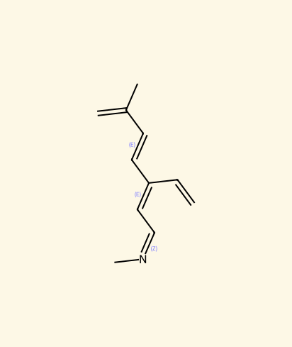 C=CC(/C=C/C(=C)C)=C\C=N/C